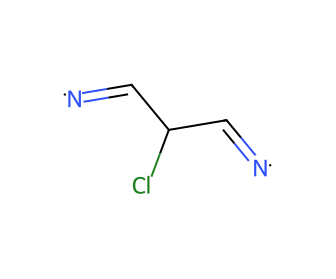 [N]=CC(Cl)C=[N]